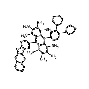 Bc1c(B)c(B)c2c(-c3ccc4oc5cc6ccccc6cc5c4c3)c3c(B)c(B)c(B)c(B)c3c(-c3ccc(-c4ccccc4)c(-c4ccccc4)c3)c2c1B